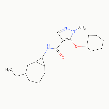 CCC1CCCC2C(C1)C2NC(=O)c1cnn(C)c1OC1CCCCC1